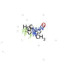 Cc1c([C@@H](C)Nc2nnc(C)c3ccc(N4CCOCC4)cc23)cc(F)cc1C(F)(F)F